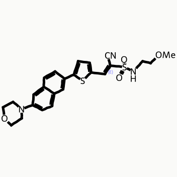 COCCNS(=O)(=O)/C(C#N)=C/c1ccc(-c2ccc3cc(N4CCOCC4)ccc3c2)s1